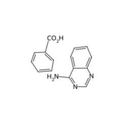 Nc1ncnc2ccccc12.O=C(O)c1ccccc1